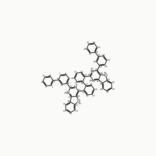 c1ccc(-c2cccc(-c3nc(-c4ccccc4-c4ccccc4-c4nc(-c5cccc(-c6ccccc6)c5)c5oc6ccccc6c5n4)c4oc5ccccc5c4n3)c2)cc1